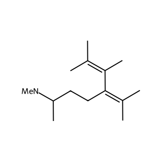 CNC(C)CCC(=C(C)C)C(C)=C(C)C